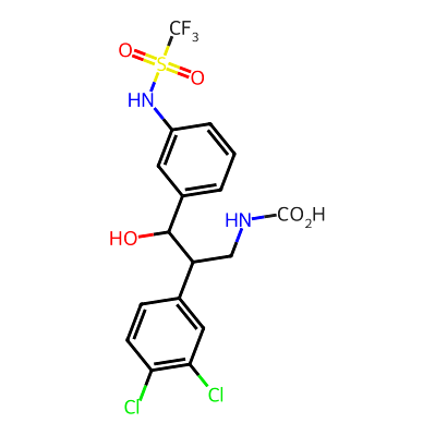 O=C(O)NCC(c1ccc(Cl)c(Cl)c1)C(O)c1cccc(NS(=O)(=O)C(F)(F)F)c1